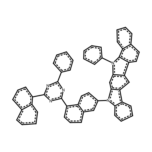 c1ccc(-c2nc(-c3cccc4ccccc34)nc(-c3cccc4cc(-n5c6ccccc6c6cc7c8ccc9ccccc9c8n(-c8ccccc8)c7cc65)ccc34)n2)cc1